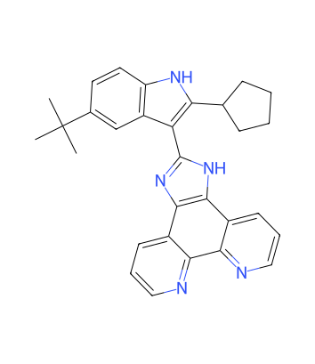 CC(C)(C)c1ccc2[nH]c(C3CCCC3)c(-c3nc4c5cccnc5c5ncccc5c4[nH]3)c2c1